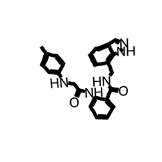 Cc1ccc(NCC(=O)Nc2ccccc2C(=O)NCc2cccc3cn[nH]c23)cc1